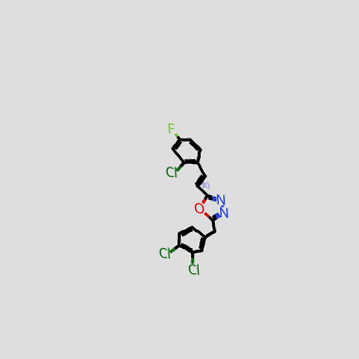 Fc1ccc(/C=C/c2nnc(Cc3ccc(Cl)c(Cl)c3)o2)c(Cl)c1